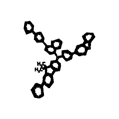 CC1(C)c2cc(-c3ccccc3)ccc2-c2ccc(N(c3ccc(-c4ccc5sc6ccccc6c5c4)cc3)c3ccc(-c4ccc(-c5ccccc5)cc4)c4ccccc34)cc21